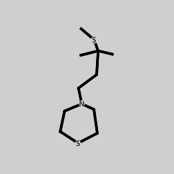 CSC(C)(C)CCN1CCSCC1